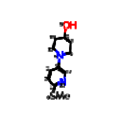 CSc1ccc(N2CCC(O)CC2)cn1